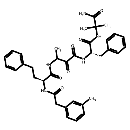 Cc1cccc(CC(=O)N[C@@H](CCc2ccccc2)C(=O)NC(C)C(=O)C(=O)N[C@@H](Cc2ccccc2)C(=O)NC(C)(C)C(N)=O)c1